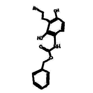 O=C(Nc1ccc(O)c(CCBr)c1O)OCc1ccccc1